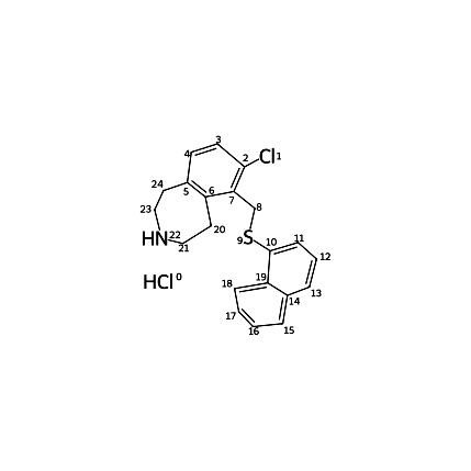 Cl.Clc1ccc2c(c1CSc1cccc3ccccc13)CCNCC2